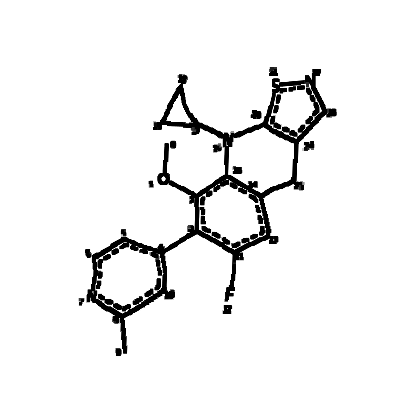 COc1c(-c2ccnc(C)c2)c(F)cc2c1N(C1CC1)c1sncc1C2